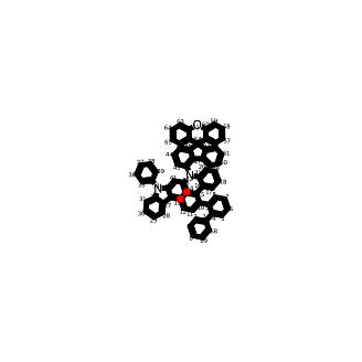 c1ccc(-c2ccccc2-c2ccccc2-c2ccccc2N(c2ccc3c4ccccc4n(-c4ccccc4)c3c2)c2cccc3c2-c2ccccc2C32c3ccccc3Oc3ccccc32)cc1